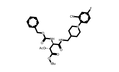 [C-]#[N+]c1cc(F)ccc1N1CCC(CNC(=O)[C@H](NC(=O)OCc2ccccc2)[C@@H](OC(C)=O)C(=O)OC(C)(C)C)CC1